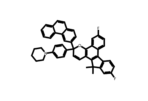 CC1(C)c2cc(F)ccc2-c2c1c1c(c3cc(F)ccc23)OC(c2ccc(N3CCCCC3)cc2)(c2ccc3ccc4ccccc4c3c2)C=C1